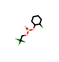 O=S(OCC(F)(F)F)OC1CCCCC1F